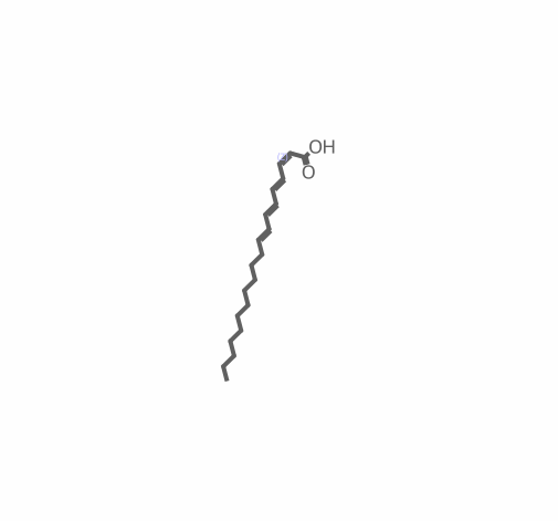 CCCCCCCCCCCC=CC=CC=C/C=C\C(=O)O